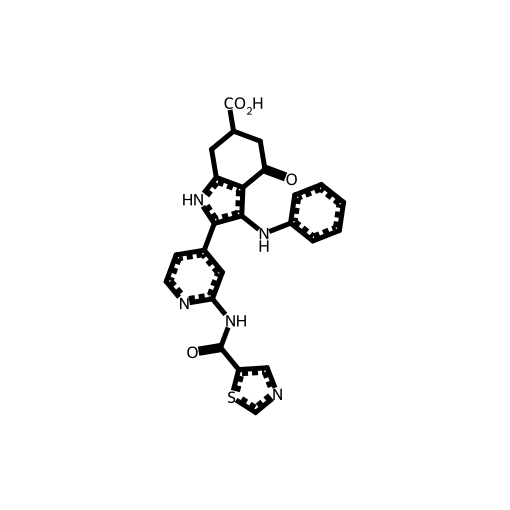 O=C(Nc1cc(-c2[nH]c3c(c2Nc2ccccc2)C(=O)CC(C(=O)O)C3)ccn1)c1cncs1